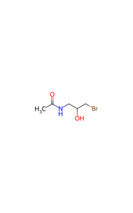 CC(=O)NCC(O)CBr